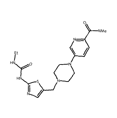 CCNC(=O)Nc1ncc(CN2CCN(c3ccc(C(=O)NC)nc3)CC2)s1